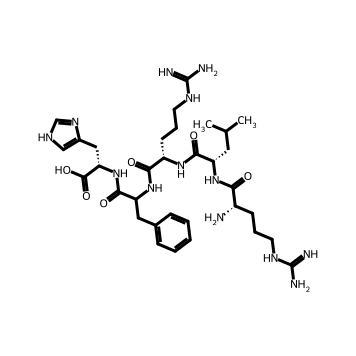 CC(C)C[C@H](NC(=O)[C@@H](N)CCCNC(=N)N)C(=O)N[C@@H](CCCNC(=N)N)C(=O)NC(Cc1ccccc1)C(=O)N[C@@H](Cc1c[nH]cn1)C(=O)O